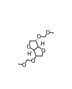 COCO[C@H]1CO[C@H]2[C@@H]1OC[C@H]2OCOC